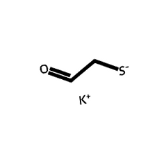 O=CC[S-].[K+]